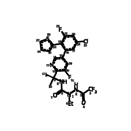 CCN(NC(=O)C(F)(F)F)C(=O)NC(C)(I)c1ncc(-c2cc(Cl)cc(F)c2-c2cccs2)cc1F